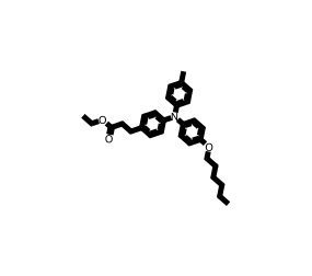 CCCCCCOc1ccc(N(c2ccc(C)cc2)c2ccc(CCC(=O)OCC)cc2)cc1